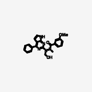 COc1cccc(C(=O)N(C)N(CO)c2nc(-c3ccccc3)c3cc[nH]c3n2)c1